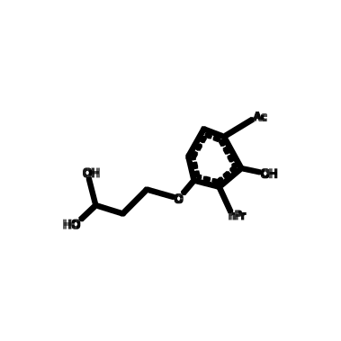 CCCc1c(OCCC(O)O)ccc(C(C)=O)c1O